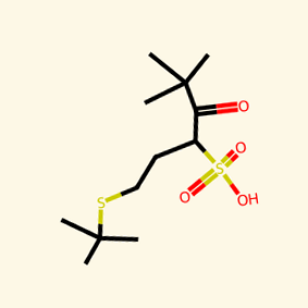 CC(C)(C)SCCC(C(=O)C(C)(C)C)S(=O)(=O)O